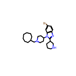 Brc1ccc2nc(C3CCCNC3)n(C3CCN(CC4CCCCCCC4)CC3)c2c1